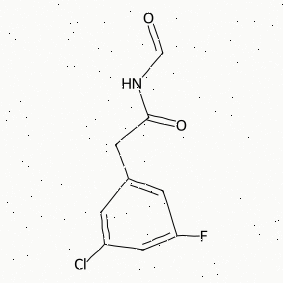 O=CNC(=O)Cc1cc(F)cc(Cl)c1